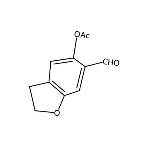 CC(=O)Oc1cc2c(cc1C=O)OCC2